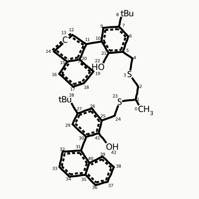 CC(CSCc1cc(C(C)(C)C)cc(-c2cccc3ccccc23)c1O)SCc1cc(C(C)(C)C)cc(-c2cccc3ccccc23)c1O